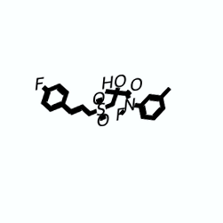 Cc1cccc(N(F)C(=O)C(C)(O)CS(=O)(=O)CC=Cc2ccc(F)cc2)c1